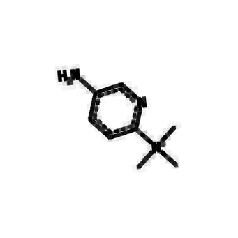 C[N+](C)(C)c1ccc(N)cn1